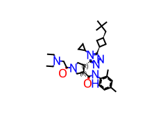 CCN(CC)CC(=O)N1C[C@H](C(=O)Nc2ccc(C)cc2C)[C@@H](c2nnc([C@H]3C[C@@H](CC(C)(C)C)C3)n2C2CC2)C1